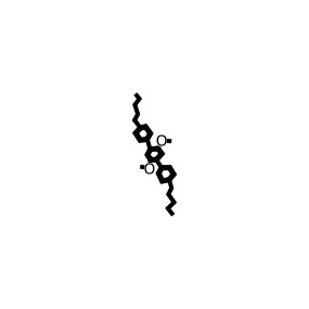 CCCCCc1ccc(-c2cc(OC)c(-c3ccc(CCCCC)cc3)cc2OC)cc1